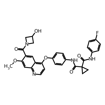 COc1cc2nccc(Oc3ccc(NC(=O)C4(C(=O)Nc5ccc(F)cc5)CC4)cc3)c2cc1C(=O)N1CC(O)C1